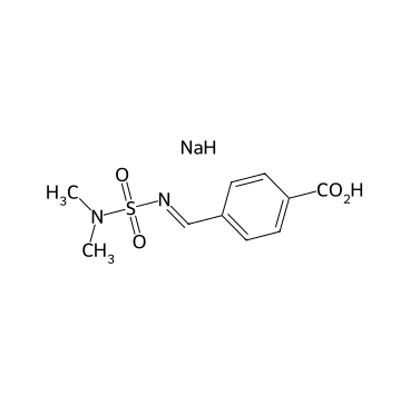 CN(C)S(=O)(=O)N=Cc1ccc(C(=O)O)cc1.[NaH]